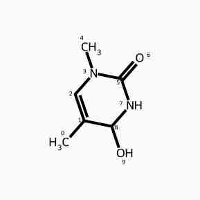 CC1=CN(C)C(=O)NC1O